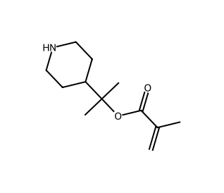 C=C(C)C(=O)OC(C)(C)C1CCNCC1